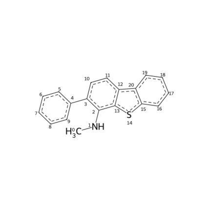 CNc1c(-c2ccccc2)ccc2c1sc1ccccc12